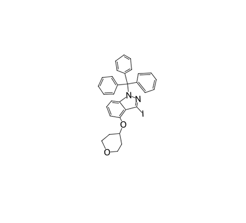 Ic1nn(C(c2ccccc2)(c2ccccc2)c2ccccc2)c2cccc(OC3CCOCC3)c12